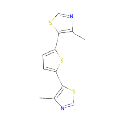 Cc1ncsc1-c1ccc(-c2scnc2C)s1